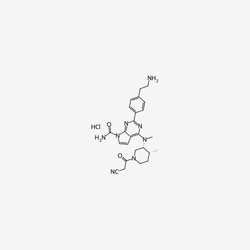 C[C@@H]1CCN(C(=O)CC#N)C[C@@H]1N(C)c1nc(-c2ccc(CCN)cc2)nc2c1ccn2C(N)=O.Cl